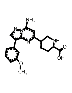 COc1cccc(-c2cnn3c(N)cc(C4CCC(C(=O)O)NC4)nc23)c1